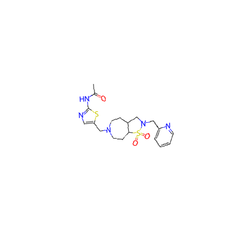 CC(=O)Nc1ncc(CN2CCC3CN(Cc4ccccn4)S(=O)(=O)C3CC2)s1